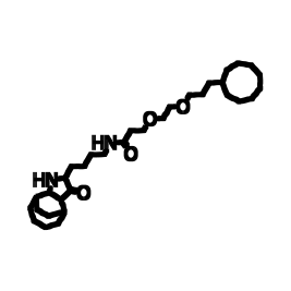 O=C(CCOCCOCCCC1CCCCCCCC1)NCCCCC1NC2C3CCCCC(CC3)C2C1=O